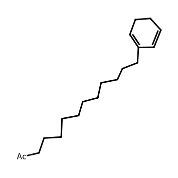 CC(=O)CCCCCCCCCCCC1=CCCC=C1